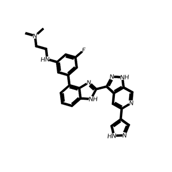 CN(C)CCNc1cc(F)cc(-c2cccc3[nH]c(-c4n[nH]c5cnc(-c6cn[nH]c6)cc45)nc23)c1